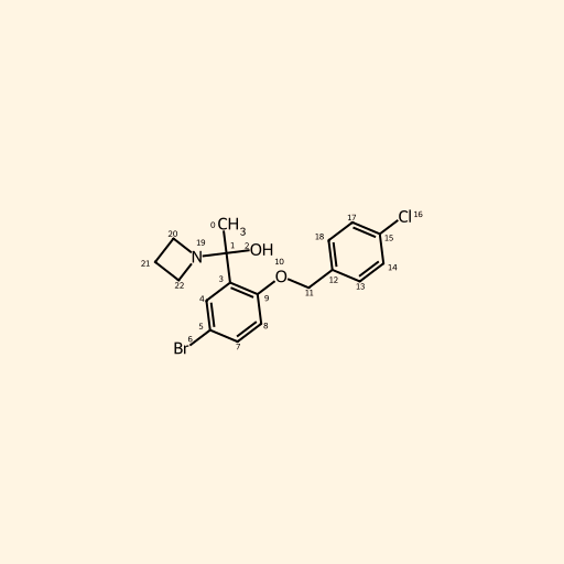 CC(O)(c1cc(Br)ccc1OCc1ccc(Cl)cc1)N1CCC1